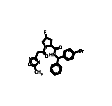 Cc1nc(CC(=O)N2CC(F)CC2C(=O)NC(c2ccccc2)c2ccc(C(C)C)cc2)no1